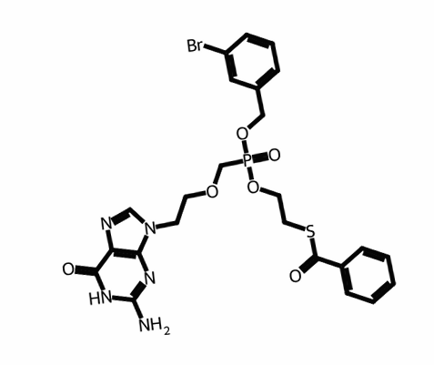 Nc1nc2c(ncn2CCOCP(=O)(OCCSC(=O)c2ccccc2)OCc2cccc(Br)c2)c(=O)[nH]1